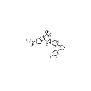 CC(=O)N1Cc2cc([S+](C)[O-])ccc2C1C(=O)Nc1cnc(N2CCCC2c2ccc(F)c(F)c2)nc1